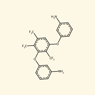 Nc1cccc(Oc2cc(C(F)(F)F)c(C(F)(F)F)c(Oc3cccc(N)c3)c2C(F)(F)F)c1